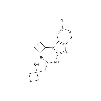 N=C(CC1(O)CCC1)Nc1nc2ccc(Cl)cc2n1C1CCC1